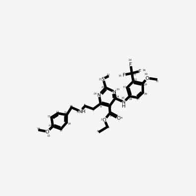 CCOC(=O)c1c(CCNCc2ccc(OC)cc2)nc(SC)nc1Nc1ccc(OC)c(C(F)(F)F)c1